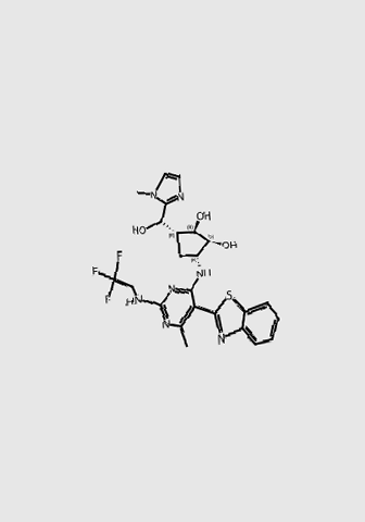 Cc1nc(NCC(F)(F)F)nc(N[C@@H]2C[C@H](C(O)c3nccn3C)[C@@H](O)[C@H]2O)c1-c1nc2ccccc2s1